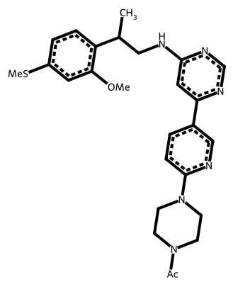 COc1cc(SC)ccc1C(C)CNc1cc(-c2ccc(N3CCN(C(C)=O)CC3)nc2)ncn1